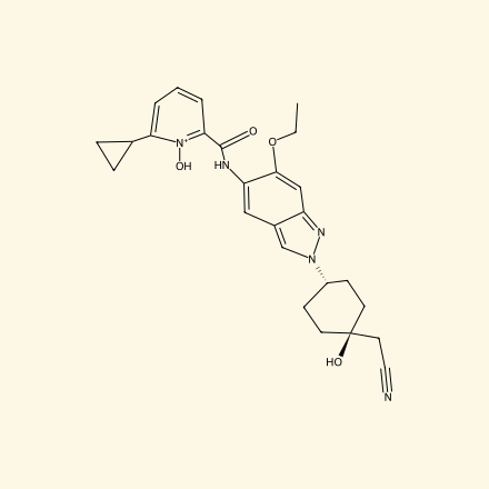 CCOc1cc2nn([C@H]3CC[C@@](O)(CC#N)CC3)cc2cc1NC(=O)c1cccc(C2CC2)[n+]1O